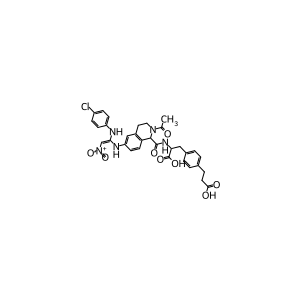 CC(=O)N1CCc2cc(NC(=C[N+](=O)[O-])Nc3ccc(Cl)cc3)ccc2C1C(=O)NC(Cc1ccc(CCC(=O)O)cc1)C(=O)O